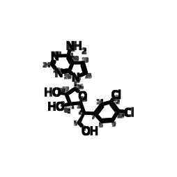 C[C@@]1(O)[C@@H]([C@H](CO)c2ccc(Cl)c(Cl)c2)O[C@@H](n2ccc3c(N)ncnc32)[C@@H]1O